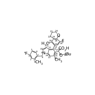 Cc1cc(F)ccc1Cn1ccc2c(-c3cc(F)c4c(c3C)CCCO4)c([C@H](OC(C)(C)C)C(=O)O)c(C)cc21